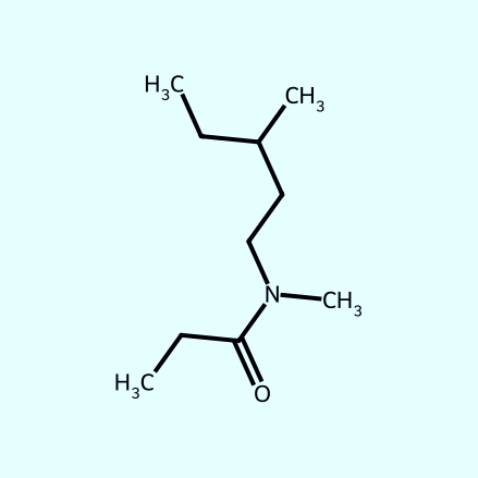 CCC(=O)N(C)CCC(C)CC